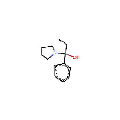 CCC(O)(c1ccccc1)N1CCCC1